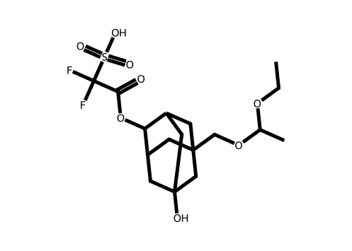 CCOC(C)OCC12CC3CC(O)(CC(C1)C3OC(=O)C(F)(F)S(=O)(=O)O)C2